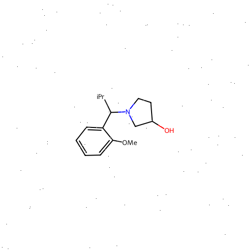 COc1ccccc1C(C(C)C)N1CCC(O)C1